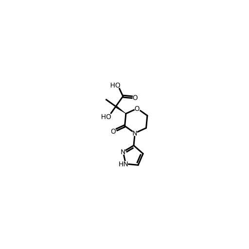 CC(O)(C(=O)O)[C@H]1OCCN(c2cc[nH]n2)C1=O